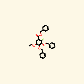 CCOc1cc(C(=O)OCc2ccccc2)c(F)c(OCc2ccccc2)c1OCc1ccccc1